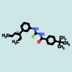 C=C/C=C(\C=C)c1cccc(NC(=S)NC(=O)c2ccc(C(C)(C)C)cc2)c1